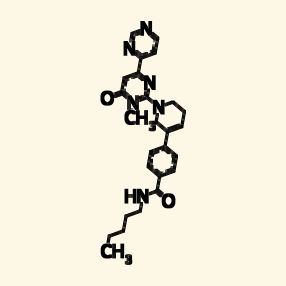 CCCCCNC(=O)c1ccc(C2=CCCN(c3nc(-c4ccncn4)cc(=O)n3C)C2)cc1